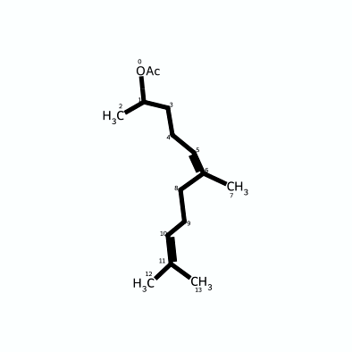 CC(=O)OC(C)CC/C=C(/C)CCC=C(C)C